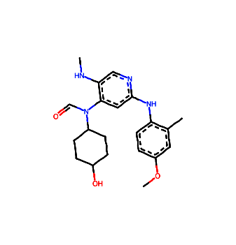 CNc1cnc(Nc2ccc(OC)cc2C)cc1N(C=O)C1CCC(O)CC1